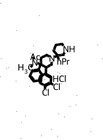 CCCC1(N2CCC(c3ccccc3)(N(C)C(C)=O)C(c3ccc(Cl)c(Cl)c3)C2)CCCNC1.Cl